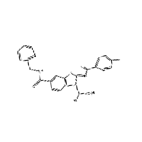 CCC(C(=O)O)n1/c(=N/C(=O)c2ccc(C)cc2)sc2cc(C(=O)NCc3ccccc3)ccc21